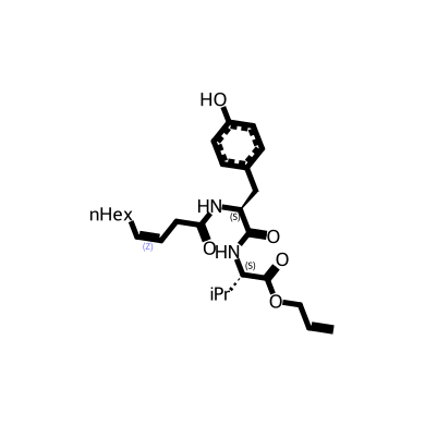 C=CCOC(=O)[C@@H](NC(=O)[C@H](Cc1ccc(O)cc1)NC(=O)C/C=C\CCCCCC)C(C)C